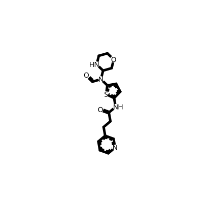 O=CN(c1ccc(NC(=O)CCc2cccnc2)s1)C1COCCN1